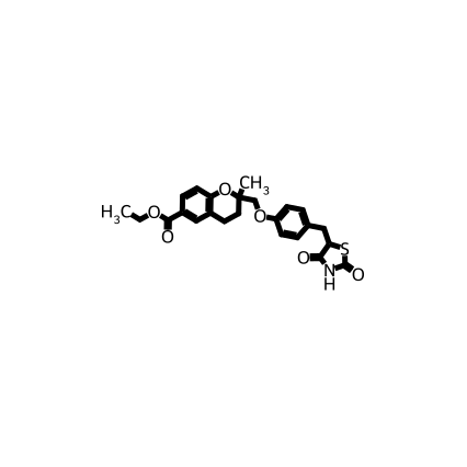 CCOC(=O)c1ccc2c(c1)CCC(C)(COc1ccc(CC3SC(=O)NC3=O)cc1)O2